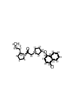 C=NC[C@@H]1CCCN1C(=O)CN1CC[C@H](Oc2ccc(Cl)c3ccccc23)C1